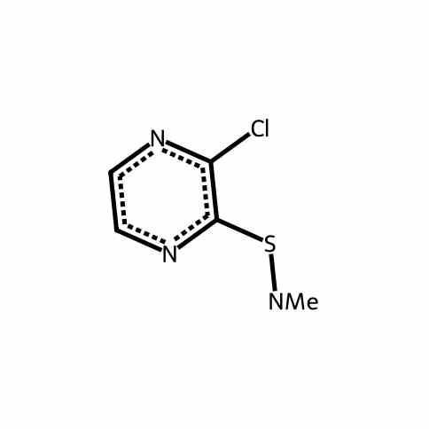 CNSc1nccnc1Cl